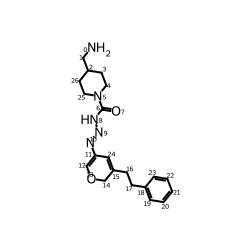 NCC1CCN(C(=O)NN=NC2=COCC(CCc3ccccc3)=C2)CC1